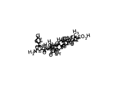 CC(C)C1=C2[C@H]3CC[C@@H]4[C@@]5(C)CC[C@H](OC(=O)[C@H]6C[C@@H](C(=O)O)C6(C)C)C(C)(C)[C@@H]5CC[C@@]4(C)[C@]3(C)CC[C@@]2([C@@H](O)CNC(=O)C(CCN)NC(=O)c2ccc(Cl)cc2)CC1=O